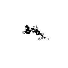 C[C@@H]1CN(c2ccc(C#N)c3ncccc23)CC2=C3CC=C(NCCN(C)C)C=C3CN21